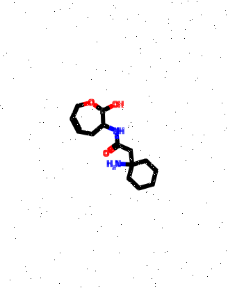 NC1(CC(=O)NC2CC=CCOB2O)CCCCC1